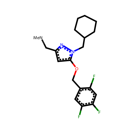 CNCc1cc(OCc2cc(F)c(F)cc2F)n(CC2CCCCC2)n1